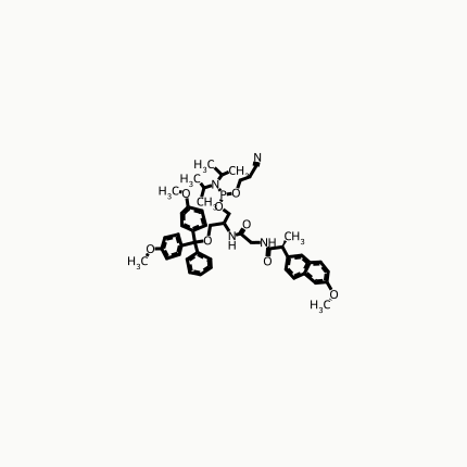 COc1ccc(C(OCC(COP(OCCC#N)N(C(C)C)C(C)C)NC(=O)CNC(=O)[C@@H](C)c2ccc3cc(OC)ccc3c2)(c2ccccc2)c2ccc(OC)cc2)cc1